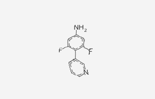 Nc1cc(F)c(-c2cccnc2)c(F)c1